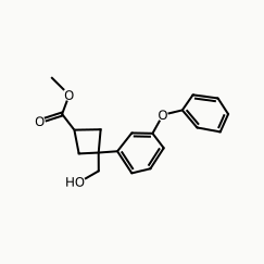 COC(=O)C1CC(CO)(c2cccc(Oc3ccccc3)c2)C1